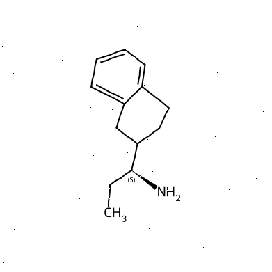 CC[C@H](N)C1CCc2ccccc2C1